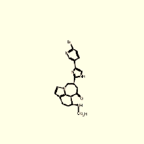 O=C(O)N[C@H]1CCc2ccn3c2C1C(=O)C[C@H](c1nc(-c2ccc(Br)nc2)c[nH]1)C3